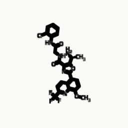 COc1ccc(-c2nc(C(=O)NCC(=O)Nc3ccccc3Cl)c([C@H](C)N)o2)c2ccc(C(F)(F)F)nc12